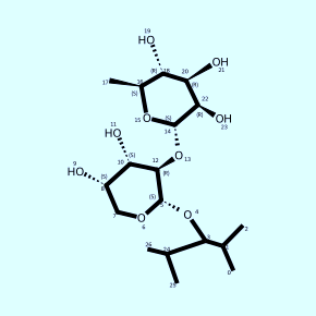 CC(C)C(O[C@@H]1OC[C@H](O)[C@H](O)[C@H]1O[C@@H]1O[C@@H](C)[C@H](O)[C@@H](O)[C@H]1O)C(C)C